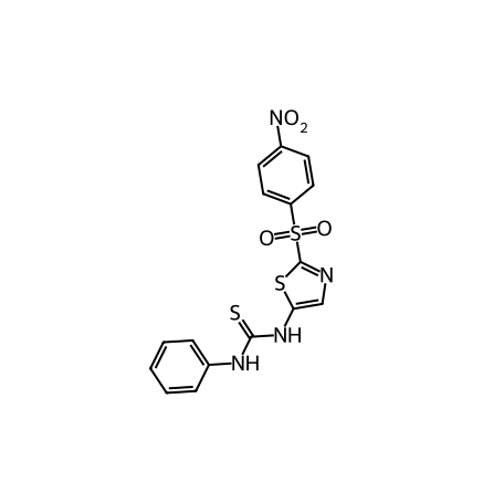 O=[N+]([O-])c1ccc(S(=O)(=O)c2ncc(NC(=S)Nc3ccccc3)s2)cc1